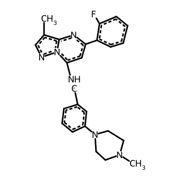 Cc1cnn2c(NCc3cccc(N4CCN(C)CC4)c3)cc(-c3ccccc3F)nc12